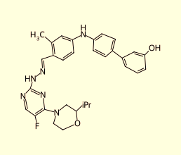 Cc1cc(Nc2ccc(-c3cccc(O)c3)cc2)ccc1/C=N/Nc1ncc(F)c(N2CCOC(C(C)C)C2)n1